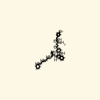 COc1ccc(CNC(=O)[C@@H](N)CCC(=O)N2CCC(Nc3nc(NC/C(=C/NCCCNCCCNC4CCCCC4)N=N)nc4ccccc34)CC2)cc1